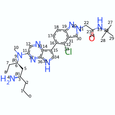 CCC[C@@H](N)C[C@@H](CC)N(C)c1cnc2c(-c3ccc4nn(CC(=O)NC(C)(C)C)cc4c3Cl)c[nH]c2n1